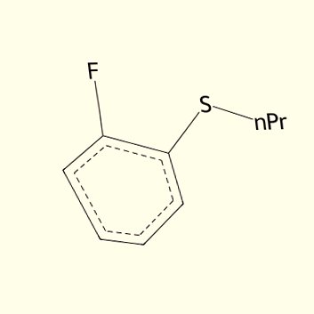 CCCSc1ccccc1F